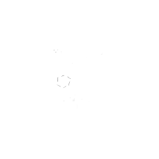 CO[C@@H]1CC(C(C)(C)C)CC[C@H]1Oc1cccc(O[Si](C)(C)C(C)(C)C)c1